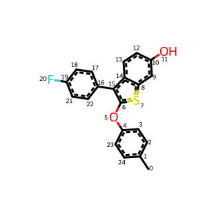 Cc1ccc(Oc2sc3cc(O)ccc3c2-c2ccc(F)cc2)cc1